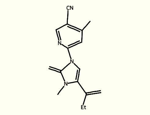 C=C(CC)C1=CN(c2cc(C)c(C#N)cn2)C(=C)N1C